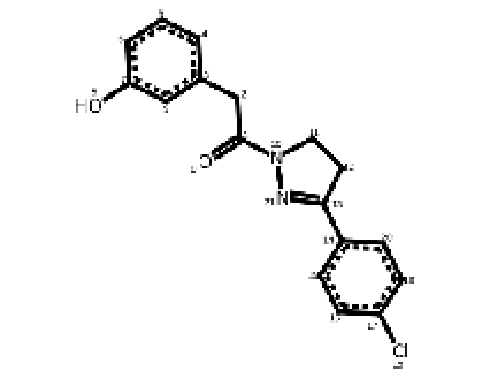 O=C(Cc1cccc(O)c1)N1CCC(c2ccc(Cl)cc2)=N1